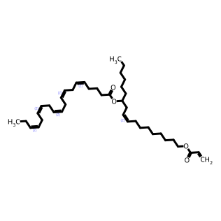 C=CC(=O)OCCCCCCCC/C=C\CC(CCCCCC)OC(=O)CCC/C=C\C/C=C\C/C=C\C/C=C\C/C=C\CC